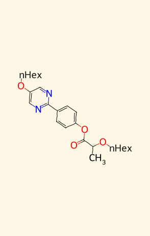 CCCCCCOc1cnc(-c2ccc(OC(=O)C(C)OCCCCCC)cc2)nc1